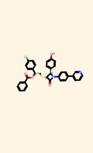 O=C(O[C@@H](CS[C@H]1C(=O)N(c2ccc(-c3cccnc3)cc2)[C@@H]1c1ccc(O)cc1)c1ccc(Cl)cc1)c1ccccc1